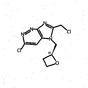 ClCc1nc2nnc(Cl)cc2n1C[C@@H]1CCO1